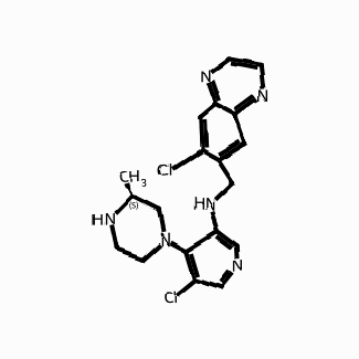 C[C@H]1CN(c2c(Cl)cncc2NCc2cc3nccnc3cc2Cl)CCN1